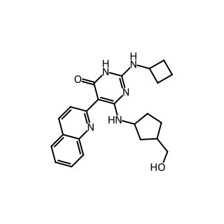 O=c1[nH]c(NC2CCC2)nc(NC2CCC(CO)C2)c1-c1ccc2ccccc2n1